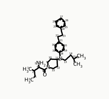 CCC(C)C(N)C(=O)N1CCC(N(CCC(C)C)c2ccc(CCc3ccccc3)cc2)CC1